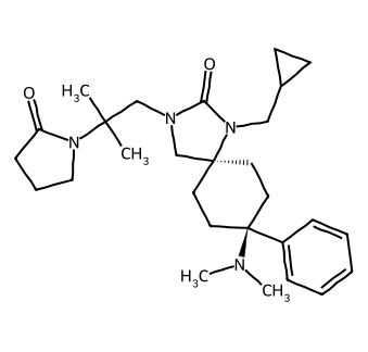 CN(C)[C@]1(c2ccccc2)CC[C@]2(CC1)CN(CC(C)(C)N1CCCC1=O)C(=O)N2CC1CC1